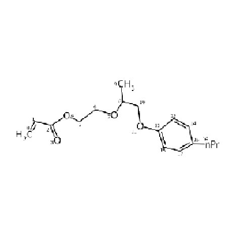 C=CC(=O)OCCOC(C)COc1ccc(CCC)cc1